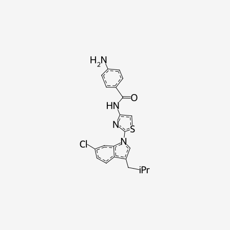 CC(C)Cc1cn(-c2nc(NC(=O)c3ccc(N)cc3)cs2)c2cc(Cl)ccc12